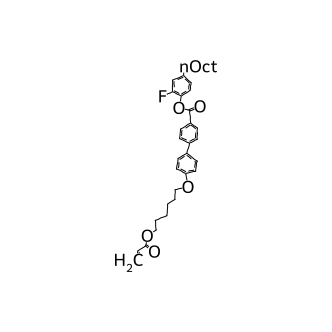 C=CC(=O)OCCCCCCOc1ccc(-c2ccc(C(=O)Oc3ccc(CCCCCCCC)cc3F)cc2)cc1